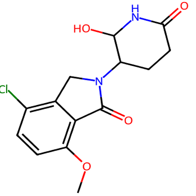 COc1ccc(Cl)c2c1C(=O)N(C1CCC(=O)NC1O)C2